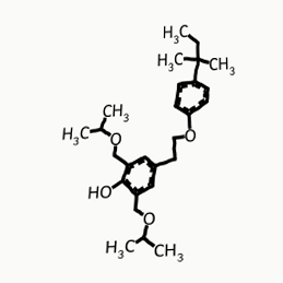 CCC(C)(C)c1ccc(OCCc2cc(COC(C)C)c(O)c(COC(C)C)c2)cc1